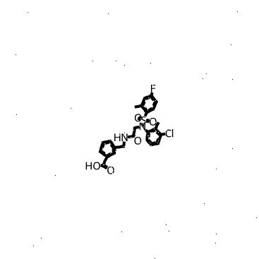 Cc1cc(F)ccc1S(=O)(=O)N(CC(=O)NCc1cccc(C(=O)O)c1)c1cccc(Cl)c1C